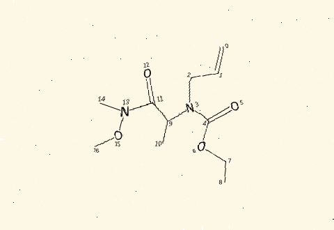 C=CCN(C(=O)OCC)C(C)C(=O)N(C)OC